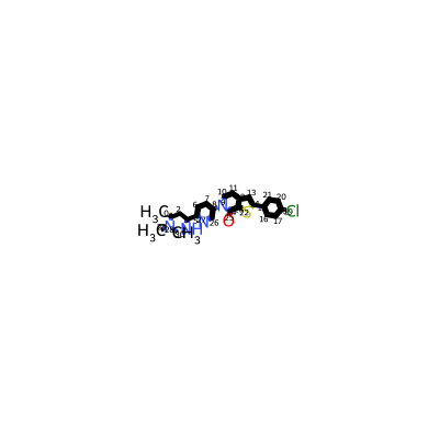 CC(CC(=N)c1ccc(-n2ccc3cc(-c4ccc(Cl)cc4)sc3c2=O)cn1)N(C)C